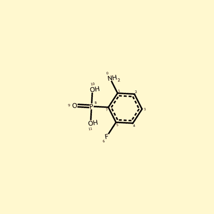 Nc1cccc(F)c1P(=O)(O)O